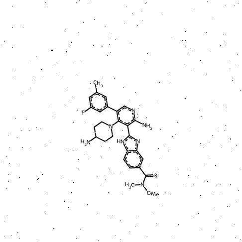 CON(C)C(=O)c1ccc2[nH]c(-c3c(N)ncc(-c4cc(C)cc(F)c4)c3N3CCC(N)CC3)nc2c1